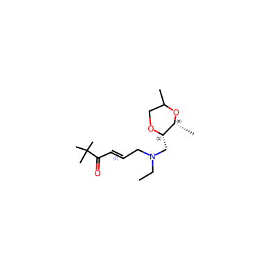 CCN(C/C=C/C(=O)C(C)(C)C)C[C@@H]1OCC(C)O[C@@H]1C